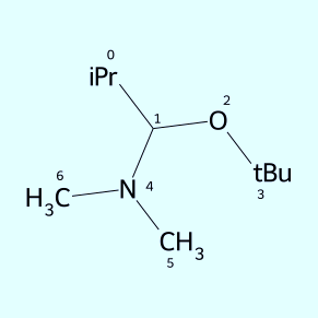 CC(C)C(OC(C)(C)C)N(C)C